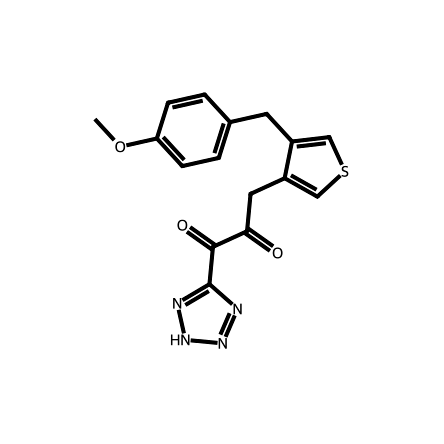 COc1ccc(Cc2cscc2CC(=O)C(=O)c2nn[nH]n2)cc1